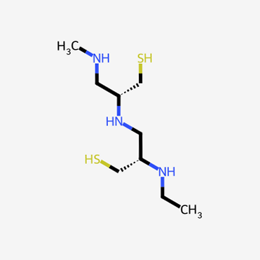 CCN[C@H](CS)CN[C@@H](CS)CNC